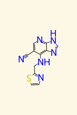 N#Cc1cnc2[nH]cnc2c1NCc1nccs1